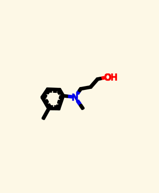 Cc1cccc(N(C)CCCO)c1